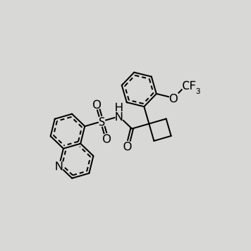 O=C(NS(=O)(=O)c1cccc2ncccc12)C1(c2ccccc2OC(F)(F)F)CCC1